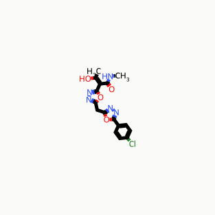 CNC(=O)/C(=C(\C)O)c1nnc(Cc2nnc(-c3ccc(Cl)cc3)o2)o1